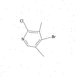 Cc1cnc(Cl)c(C)c1Br